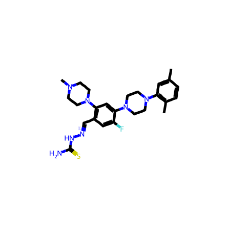 Cc1ccc(C)c(N2CCN(c3cc(N4CCN(C)CC4)c(/C=N/NC(N)=S)cc3F)CC2)c1